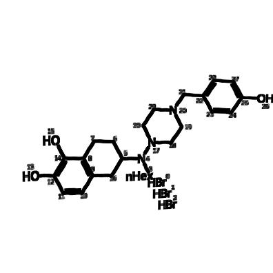 Br.Br.Br.CCCCCCN(C1CCc2c(ccc(O)c2O)C1)N1CCN(Cc2ccc(O)cc2)CC1